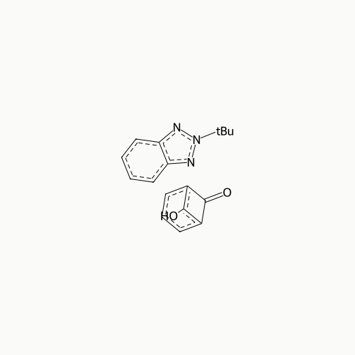 CC(C)(C)n1nc2ccccc2n1.O=C1c2cccc1c2O